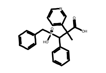 CC(C(=O)O)(c1cccnc1)C(c1ccccc1)P(=O)(O)Cc1ccccc1